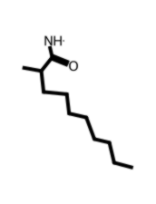 CCCCCCCCC(C)C([NH])=O